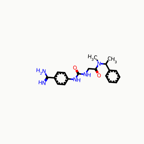 CC(c1ccccc1)N(C)C(=O)CNC(=O)Nc1ccc(C(=N)N)cc1